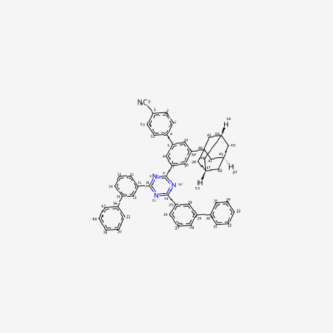 N#Cc1ccc(-c2cc(-c3nc(-c4cccc(-c5ccccc5)c4)nc(-c4cccc(-c5ccccc5)c4)n3)cc(C34C[C@H]5C[C@@H](C3)C[C@@H](C4)C5)c2)cc1